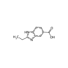 CCc1nc2cc(C(=O)O)ccc2[nH]1